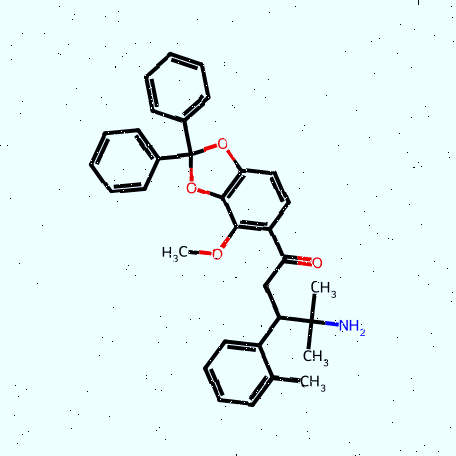 COc1c(C(=O)CC(c2ccccc2C)C(C)(C)N)ccc2c1OC(c1ccccc1)(c1ccccc1)O2